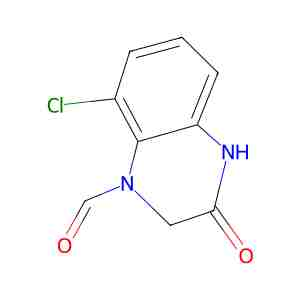 O=CN1CC(=O)Nc2cccc(Cl)c21